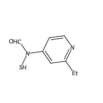 CCc1cc(N(S)C=O)ccn1